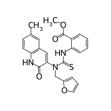 COC(=O)c1ccccc1NC(=S)N(Cc1ccco1)c1cc2cc(C)ccc2[nH]c1=O